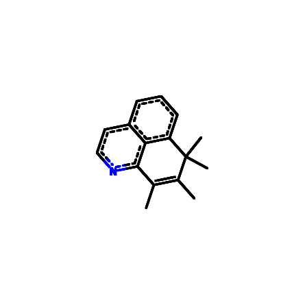 CC1=C(C)C(C)(C)c2cccc3ccnc1c23